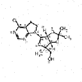 CC1(C)O[C@H]2[C@H](N3CCc4c(Cl)ncnc43)O[C@](C)(CO)[C@H]2O1